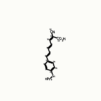 CCCSc1ccc(C=CC=CC=C(C#N)C(=O)O)cc1